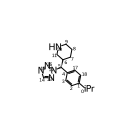 CC(C)c1ccc([C@H](C2CCCNC2)n2ncnn2)cc1